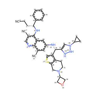 N#CCC[C@@H](Nc1c(C#N)cnc2c(C#N)cc(N[C@H](C3=CN(C4CC4)NN3)c3csc4c3CCN(C3COC3)C4)cc12)c1ccccc1